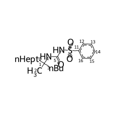 CCCCCCCC(C)(CCCC)NC(=O)NS(=O)(=O)c1ccccc1